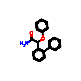 NC(=O)C(Oc1ccccc1)c1ccccc1-c1ccccc1